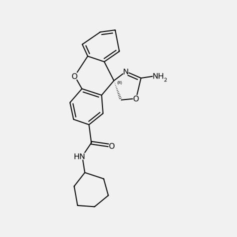 NC1=N[C@]2(CO1)c1ccccc1Oc1ccc(C(=O)NC3CCCCC3)cc12